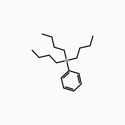 CCCC[Si](CCCC)(CCCC)c1[c]cccc1